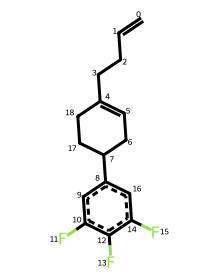 C=CCCC1=CCC(c2cc(F)c(F)c(F)c2)CC1